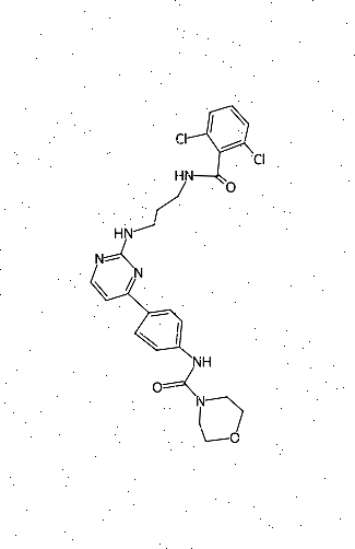 O=C(NCCCNc1nccc(-c2ccc(NC(=O)N3CCOCC3)cc2)n1)c1c(Cl)cccc1Cl